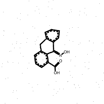 O=C(O)c1cccc2c1C(=NO)c1ccccc1C2